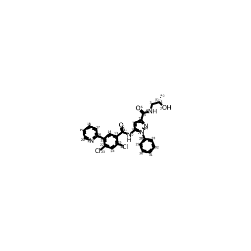 C[C@H](O)CNC(=O)c1cc(NC(=O)c2cc(-c3ccccn3)c(Cl)cc2Cl)n(-c2ccccc2)n1